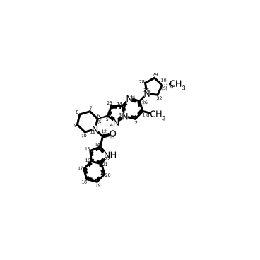 Cc1cn2nc([C@@H]3CCCCN3C(=O)c3cc4ccccc4[nH]3)cc2nc1N1CC[C@H](C)C1